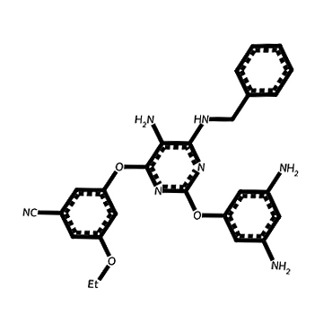 CCOc1cc(C#N)cc(Oc2nc(Oc3cc(N)cc(N)c3)nc(NCc3ccccc3)c2N)c1